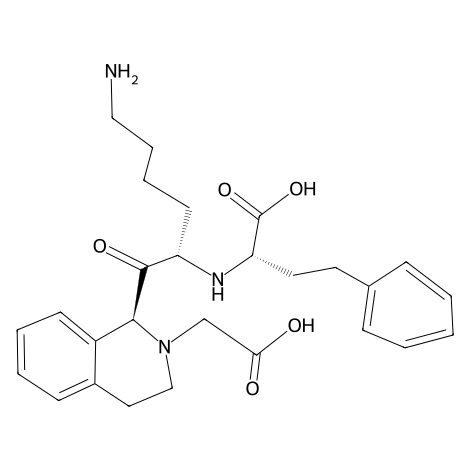 NCCCC[C@H](N[C@@H](CCc1ccccc1)C(=O)O)C(=O)[C@@H]1c2ccccc2CCN1CC(=O)O